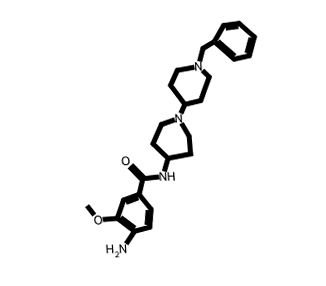 COc1cc(C(=O)NC2CCN(C3CCN(Cc4ccccc4)CC3)CC2)ccc1N